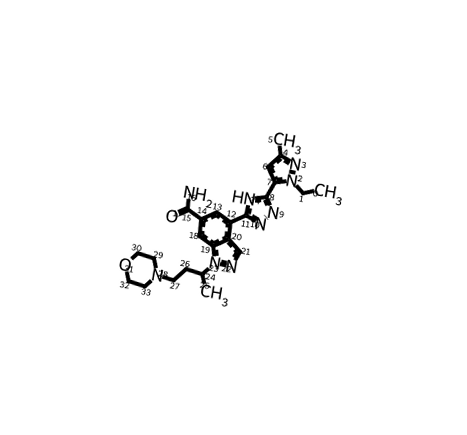 CCn1nc(C)cc1-c1nnc(-c2cc(C(N)=O)cc3c2cnn3C(C)CCN2CCOCC2)[nH]1